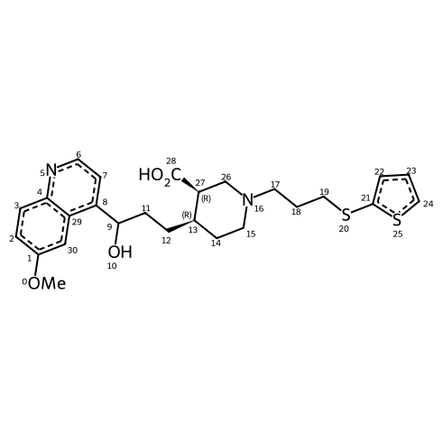 COc1ccc2nccc(C(O)CC[C@@H]3CCN(CCCSc4cccs4)C[C@@H]3C(=O)O)c2c1